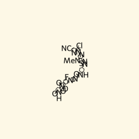 CNc1cc(-n2cc(Cl)c3cc(C#N)cnc32)ncc1-c1nnc(C2CCC(NC(=O)CN3CCN(c4cc5c(cc4F)C(=O)N(C4CCC(=O)NC4=O)C5=O)CC3)CC2)s1